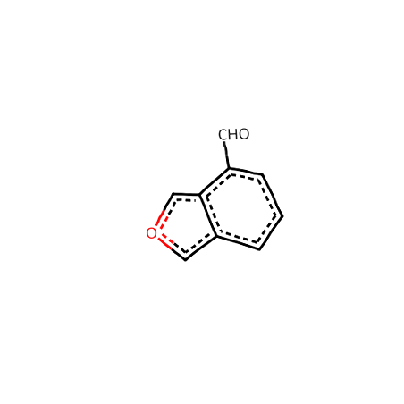 O=Cc1cccc2cocc12